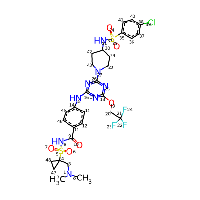 CN(C)CC1(S(=O)(=O)NC(=O)c2ccc(Nc3nc(OCC(F)(F)F)nc(N4CCC(NS(=O)(=O)c5ccc(Cl)cc5)CC4)n3)cc2)CC1